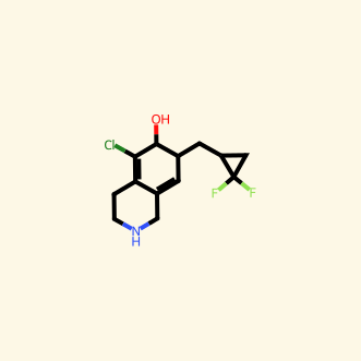 OC1C(Cl)=C2CCNCC2=CC1CC1CC1(F)F